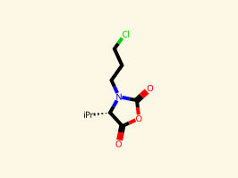 CC(C)[C@H]1C(=O)OC(=O)N1CCCCl